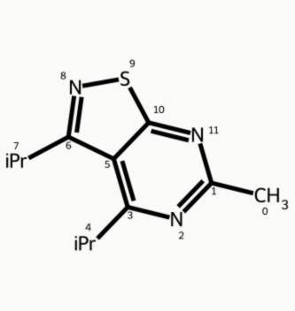 Cc1nc(C(C)C)c2c(C(C)C)nsc2n1